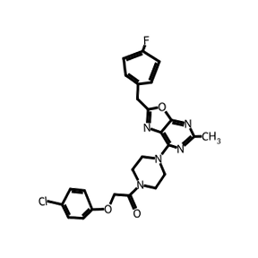 Cc1nc(N2CCN(C(=O)COc3ccc(Cl)cc3)CC2)c2nc(Cc3ccc(F)cc3)oc2n1